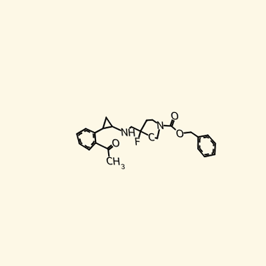 CC(=O)c1ccccc1C1CC1NCC1(F)CCN(C(=O)OCc2ccccc2)CC1